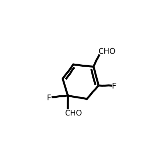 O=CC1=C(F)CC(F)(C=O)C=C1